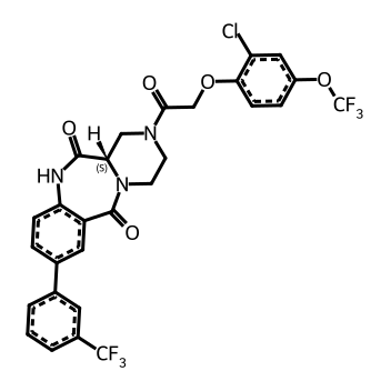 O=C1Nc2ccc(-c3cccc(C(F)(F)F)c3)cc2C(=O)N2CCN(C(=O)COc3ccc(OC(F)(F)F)cc3Cl)C[C@@H]12